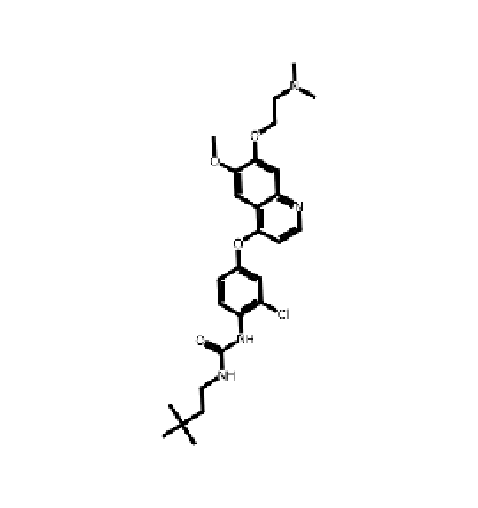 COc1cc2c(Oc3ccc(NC(=O)NCCC(C)(C)C)c(Cl)c3)ccnc2cc1OCCN(C)C